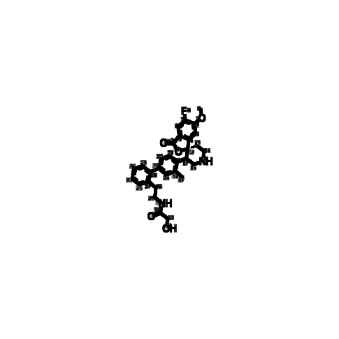 COc1cc2c(cc1F)C(=O)O[C@@]21CCNCC1c1ccc(-c2ccccc2CCNC(=O)CO)cc1C